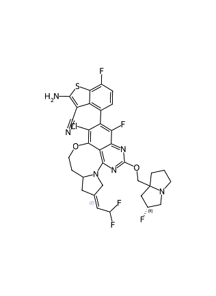 N#Cc1c(N)sc2c(F)ccc(-c3c(Cl)c4c5c(nc(OCC67CCCN6C[C@H](F)C7)nc5c3F)N3C/C(=C\C(F)F)CC3CCO4)c12